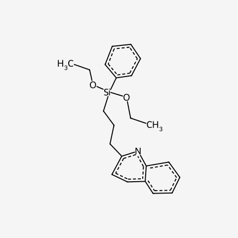 CCO[Si](CCCc1ccc2ccccc2n1)(OCC)c1ccccc1